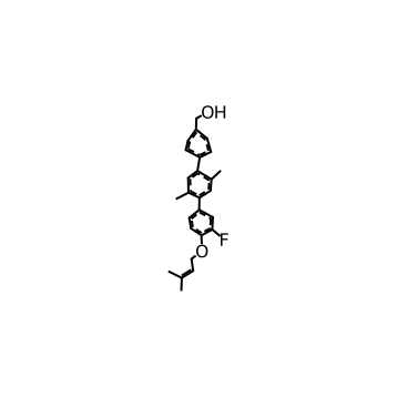 CC(C)=CCOc1ccc(-c2cc(C)c(-c3ccc(CO)cc3)cc2C)cc1F